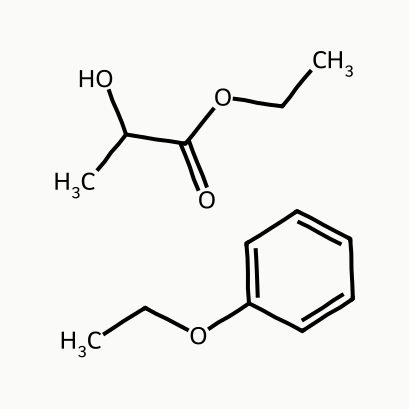 CCOC(=O)C(C)O.CCOc1ccccc1